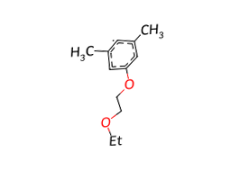 CCOCCOc1cc(C)[c]c(C)c1